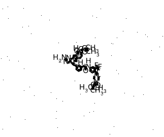 Cn1c(-c2nc(N)ncc2C#Cc2cccc(CC(=O)Nc3ccc(CN4CCN(C(=O)OC(C)(C)C)CC4)c(C(F)(F)F)c3)c2)cc2c1CCN(C(=O)OC(C)(C)C)C2=O